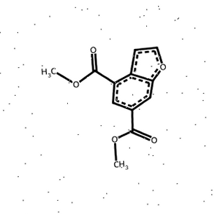 COC(=O)c1cc(C(=O)OC)c2ccoc2c1